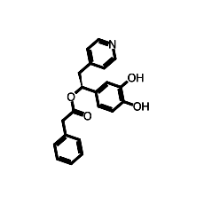 O=C(Cc1ccccc1)O[C@@H](Cc1ccncc1)c1ccc(O)c(O)c1